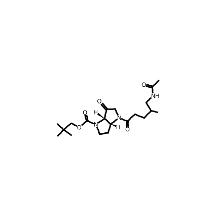 CC(=O)NCC(C)CCC(=O)N1CC(=O)[C@@H]2[C@H]1CCN2C(=O)OCC(C)(C)C